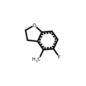 Cc1c(F)ccc2c1CCO2